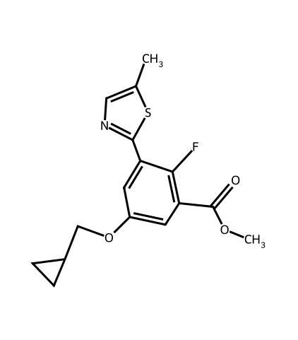 COC(=O)c1cc(OCC2CC2)cc(-c2ncc(C)s2)c1F